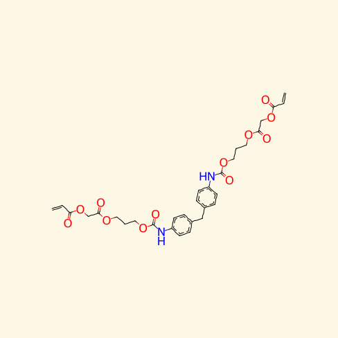 C=CC(=O)OCC(=O)OCCCOC(=O)Nc1ccc(Cc2ccc(NC(=O)OCCCOC(=O)COC(=O)C=C)cc2)cc1